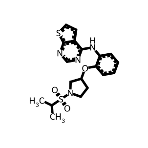 CC(C)S(=O)(=O)N1CCC(Oc2ccccc2Nc2ncnc3sccc23)C1